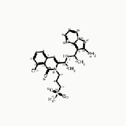 CC(N[C@@H](C)c1cc2cccc(Cl)c2c(=O)n1CCCS(C)(=O)=O)c1c(N)nn2cccnc12